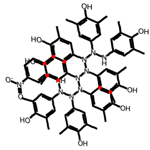 Cc1cc(NN(c2cc(C)c(O)c(C)c2)N(c2cc(C)c(O)c(C)c2)N(c2cc(C)c(O)c(C)c2)N(c2cc(C)c(O)c(C)c2)N(c2cc(C)c(O)c(C)c2)N(c2cc(C)c(O)c(C)c2)N(Nc2cccc([N+](=O)[O-])c2)c2cc(C)c(O)c(C)c2)cc(C)c1O